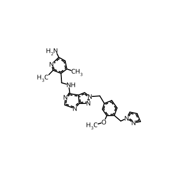 COc1cc(Cn2cc3c(NCc4c(C)cc(N)nc4C)ncnc3n2)ccc1Cn1cccn1